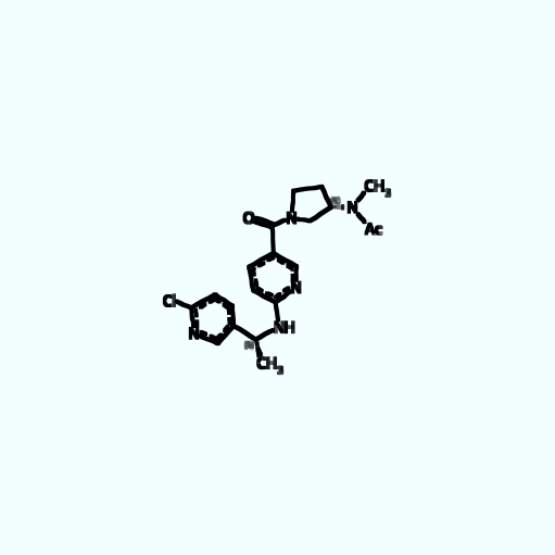 CC(=O)N(C)[C@H]1CCN(C(=O)c2ccc(N[C@@H](C)c3ccc(Cl)nc3)nc2)C1